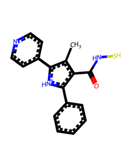 Cc1c(-c2ccncc2)[nH]c(-c2ccccc2)c1C(=O)NS